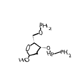 OC1C[C@@H](OPP)[C@@H](COP)O1